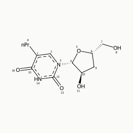 CCCc1cn([C@@H]2O[C@H](CO)C[C@H]2O)c(=O)[nH]c1=O